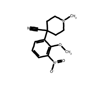 COc1c([N+](=O)[O-])cccc1C1(C#N)CCN(C)CC1